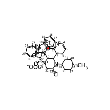 CCOc1ncccc1C1C(C2C(=O)Nc3ccccc32)[N+](C(=O)[O-])(S(=O)(=O)c2ccccc2)CC(Cl)N1C1CCN(C)CC1